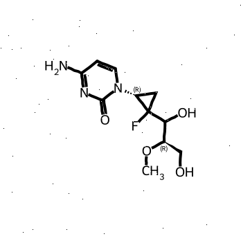 CO[C@H](CO)C(O)C1(F)C[C@H]1n1ccc(N)nc1=O